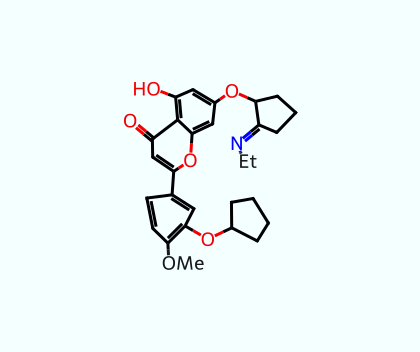 CCN=C1CCCC1Oc1cc(O)c2c(=O)cc(-c3ccc(OC)c(OC4CCCC4)c3)oc2c1